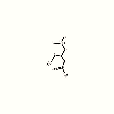 C[SiH](C)CC(CN)CC(=O)O